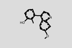 COc1ccc2c(-c3cccc(O)c3C)ccnc2c1